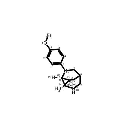 CCOc1ccc(N2CC3CNC[C@@H]2C(C)(C)C3)cc1